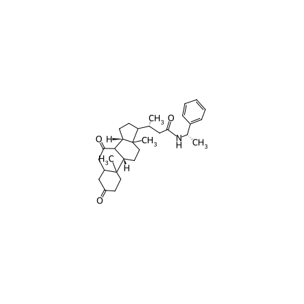 C[C@H](NC(=O)C[C@@H](C)C1CC[C@H]2C3C(=O)CC4CC(=O)CCC4(C)[C@H]3CCC12C)c1ccccc1